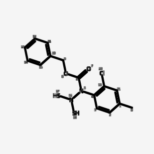 Cc1ccc(N(C(=O)OCc2ccccc2)N(S)S)c(Cl)c1